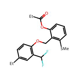 CCC(=O)Oc1cccc(SC)c1COc1ccc(CC)cc1C(F)F